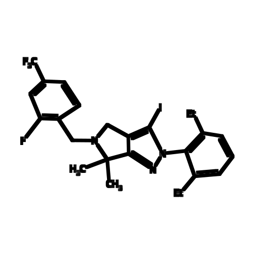 CCc1cccc(CC)c1-n1nc2c(c1I)CN(Cc1ccc(C(F)(F)F)cc1F)C2(C)C